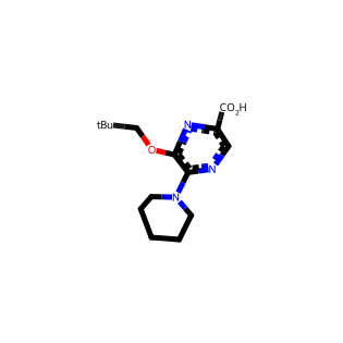 CC(C)(C)COc1nc(C(=O)O)cnc1N1CCCCC1